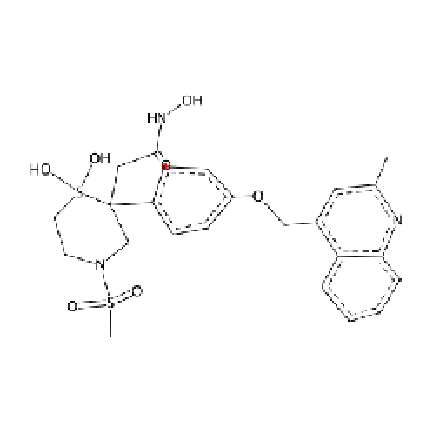 Cc1cc(COc2ccc(C3(CC(=O)NO)CN(S(C)(=O)=O)CCS3(O)O)cc2)c2ccccc2n1